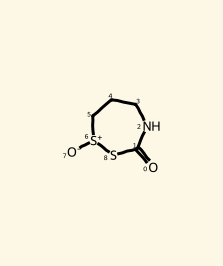 O=C1NCCC[S+]([O-])S1